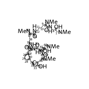 CNCC(O)CNC(=O)[C@H](CCCCNC(=O)[C@H](CCCNC(=O)[C@@H]1Cc2cccc(c2)-c2ccc(O)c(c2)C[C@H](NC)C(=O)N[C@@H](C[C@@H](O)CNC)C(=O)N1)NC)NC